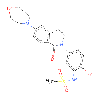 CS(=O)(=O)Nc1cc(N2CCc3cc(N4CCOCC4)ccc3C2=O)ccc1O